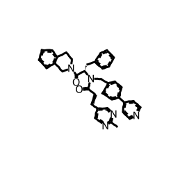 Cc1ncc(/C=C/C(=O)N(Cc2ccc(-c3ccncc3)cc2)[C@@H](Cc2ccccc2)C(=O)N2CCc3ccccc3C2)cn1